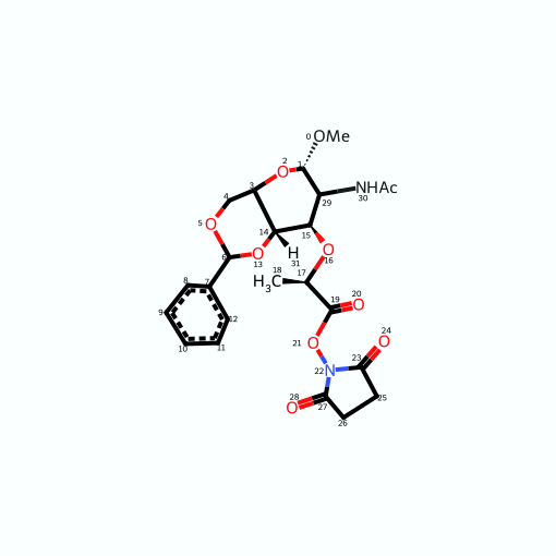 CO[C@H]1OC2COC(c3ccccc3)O[C@H]2[C@H](O[C@H](C)C(=O)ON2C(=O)CCC2=O)C1NC(C)=O